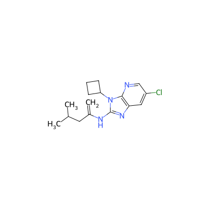 C=C(CC(C)C)Nc1nc2cc(Cl)cnc2n1C1CCC1